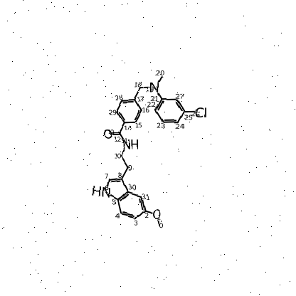 COc1ccc2[nH]cc(CCNC(=O)c3ccc(CN(C)c4cccc(Cl)c4)cc3)c2c1